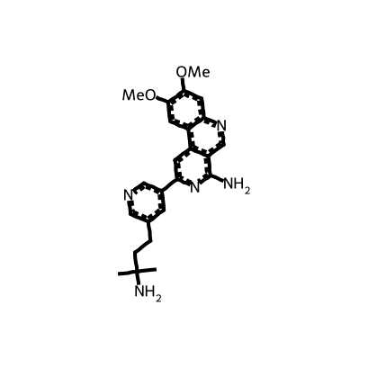 COc1cc2ncc3c(N)nc(-c4cncc(CCC(C)(C)N)c4)cc3c2cc1OC